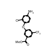 COC(=O)c1cc(Oc2ccc(N)cc2Cl)cc(C(F)(F)F)c1